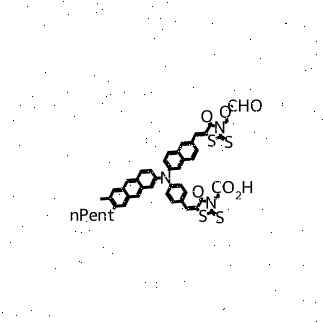 CCCCCc1cc2cc3cc(N(c4ccc(/C=C5/SC(=S)N(CC(=O)O)C5=O)cc4)c4ccc5cc(/C=C6\SC(=S)N(COC=O)C6=O)ccc5c4)ccc3cc2cc1C